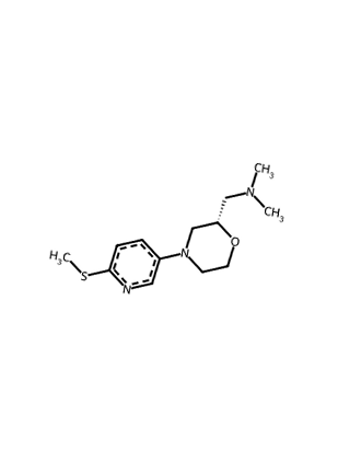 CSc1ccc(N2CCO[C@@H](CN(C)C)C2)cn1